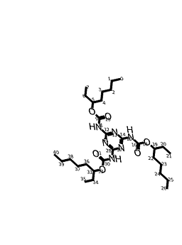 CCCCCC(CC)OC(=O)Nc1nc(NC(=O)OC(CC)CCCCC)nc(NC(=O)OC(CC)CCCCC)n1